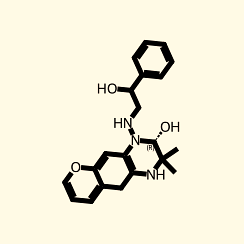 CC1(C)NC2=C(C=C3OC=CC=C3C2)N(NCC(O)c2ccccc2)[C@@H]1O